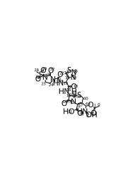 CC(=O)OC(NO)C1=C(C(=O)O)N2C(=O)[C@H](NC(=O)C(NC(=O)N3CCN(S(C)(=O)=O)C3=O)c3csnn3)[C@H]2SC1